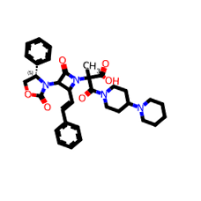 CC(C(=O)O)(C(=O)N1CCC(N2CCCCC2)CC1)N1C(=O)C(N2C(=O)OC[C@@H]2c2ccccc2)C1C=Cc1ccccc1